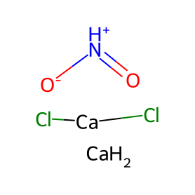 O=[NH+][O-].[CaH2].[Cl][Ca][Cl]